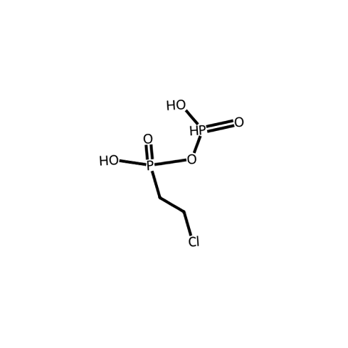 O=[PH](O)OP(=O)(O)CCCl